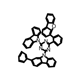 c1ccc(-c2ccc3c4ccccc4n(-c4nc(-c5ccccc5-c5cccc6c5oc5ccccc56)nc(-n5c6ccccc6c6ccccc65)n4)c3c2)cc1